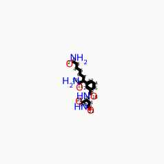 NC(=O)CCCCCC(C(N)=O)c1cccc(C(=O)NC2CC(=O)NC2=O)c1